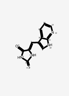 O=C1NC(=S)NC1=Cc1c[nH]c2ncccc12